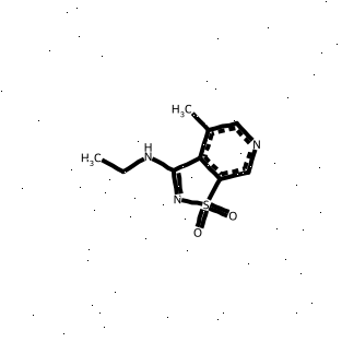 CCNC1=NS(=O)(=O)c2cncc(C)c21